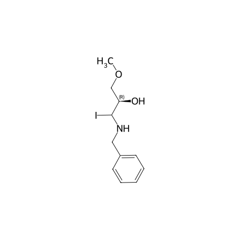 COC[C@@H](O)C(I)NCc1ccccc1